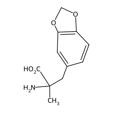 CC(N)(Cc1ccc2c(c1)OCO2)C(=O)O